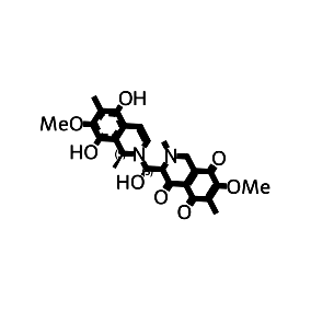 COC1=C(C)C(=O)C2=C(CN(C)C([C@H](O)N3C=Cc4c(O)c(C)c(OC)c(O)c4[C@@H]3C)C2=O)C1=O